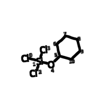 Cl[Si](Cl)(Cl)OC1CCCCC1